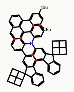 CC(C)(C)c1cc(-c2cccc3cccc(-c4ccccc4N(c4ccc5c(c4)C4(c6ccccc6-5)C5CC6CC7CC4C675)c4ccccc4-c4ccc5c(c4)C4(c6ccccc6-5)C5CC6CC7CC4C675)c23)cc(C(C)(C)C)c1